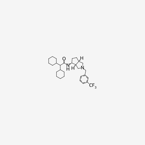 O=C(N[C@H]1CC[C@@H]2CN(Cc3cccc(C(F)(F)F)c3)C[C@@H]21)C(C1CCCCC1)C1CCCCC1